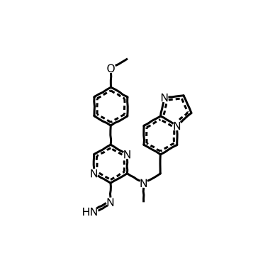 COc1ccc(-c2cnc(N=N)c(N(C)Cc3ccc4nccn4c3)n2)cc1